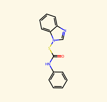 O=C(Nc1ccccc1)Sn1cnc2ccccc21